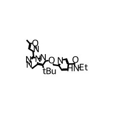 CCNC(=O)c1ccc(COc2nn3c(-c4cc(C)on4)nncc3c2C(C)(C)C)nc1